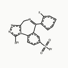 CCCc1nnc2n1-c1ccc(S(=O)(=O)C(C)C)cc1C(c1ccccc1F)=NC2